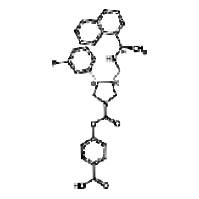 C[C@@H](NC[C@@H]1CN(C(=O)Oc2ccc(C(=O)O)cc2)C[C@@H]1c1cccc(F)c1)c1cccc2ccccc12